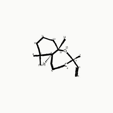 C=C[C@]1(C)CC[C@H]2C(C)(C)CCC[C@]2(C)O1